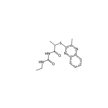 CCNC(=O)NC(=O)C(C)Sc1nc2ccccc2nc1C